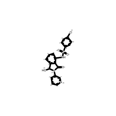 O=C1c2c(NS(=O)(=O)c3ccc(Cl)cc3)cccc2C(O)N1c1cccnc1